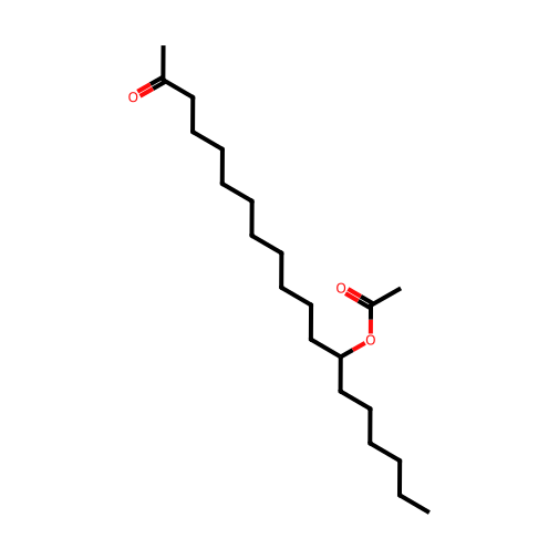 CCCCCCC(CCCCCCCCCCC(C)=O)OC(C)=O